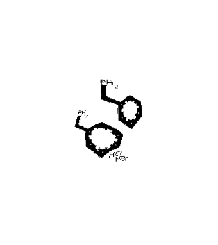 Br.Cl.PCc1ccccc1.PCc1ccccc1